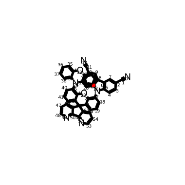 N#Cc1ccc2c(c1)c1cc(C#N)ccc1n2-c1cccc2c1Oc1c(N3c4ccccc4Oc4ccccc43)cccc1C21c2cccnc2-c2ncccc21